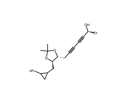 CCCC1CC1C[C@H]1OC(C)(C)O[C@@H]1CC#CC#C[C@@H](O)CC